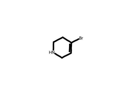 BrC1=CCNCC1